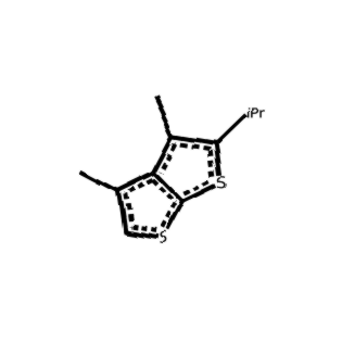 Cc1csc2sc(C(C)C)c(C)c12